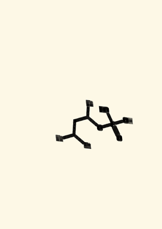 CCC(CC)CC(CC)OP(=O)(O)O